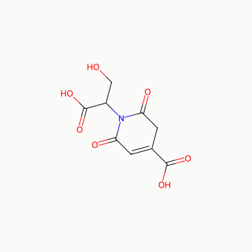 O=C(O)C1=CC(=O)N(C(CO)C(=O)O)C(=O)C1